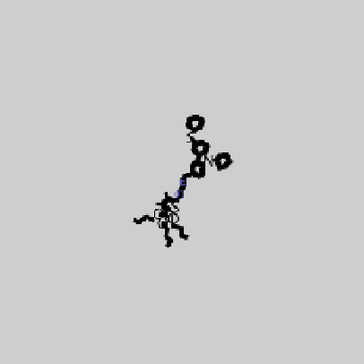 CCCCO[Si](OCCCC)(OCCCC)c1sc(/C=C/C=C/c2ccc3c(c2)c2cc(Sc4ccccc4)ccc2n3-c2ccccc2)c(C)c1C